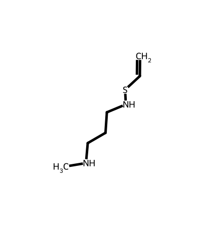 C=CSNCCCNC